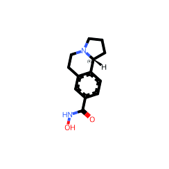 O=C(NO)c1ccc2c(c1)CCN1CCC[C@H]21